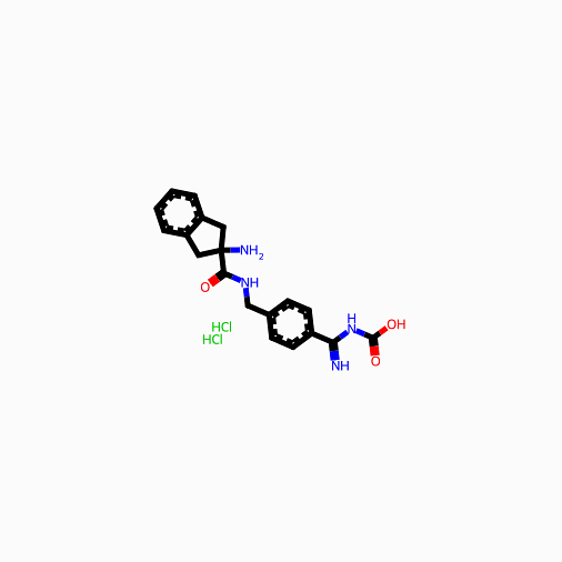 Cl.Cl.N=C(NC(=O)O)c1ccc(CNC(=O)C2(N)Cc3ccccc3C2)cc1